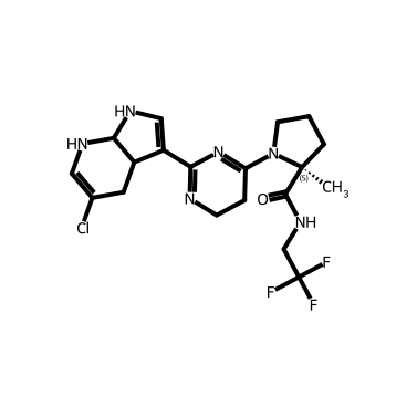 C[C@@]1(C(=O)NCC(F)(F)F)CCCN1C1=NC(C2=CNC3NC=C(Cl)CC23)=NCC1